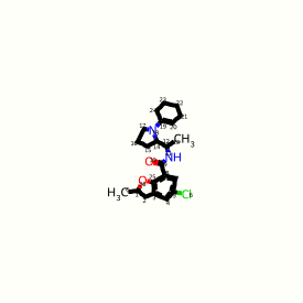 CC1Cc2cc(Cl)cc(C(=O)NC(C)C3CCCN3C3=CCCCC3)c2O1